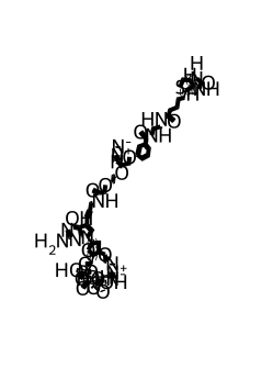 [N-]=[N+]=NCOC1C[C@H](n2cc(C#CCNC(=O)COCCOC(COc3cccc(C(=O)NCCNC(=O)CCCC[C@H]4SC[C@H]5NC(=O)N[C@H]54)c3)N=[N+]=[N-])c3c(O)nc(N)nc32)O[C@@H]1COP(=O)(O)OP(=O)(O)OP(=O)(O)O